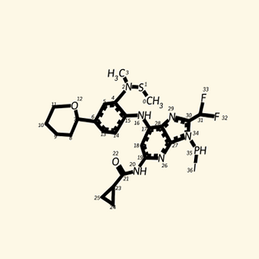 CSN(C)c1cc(C2CCCCO2)ccc1Nc1cc(NC(=O)C2CC2)nc2c1nc(C(F)F)n2PI